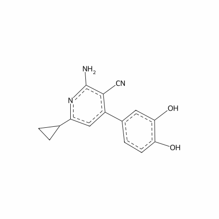 N#Cc1c(-c2ccc(O)c(O)c2)cc(C2CC2)nc1N